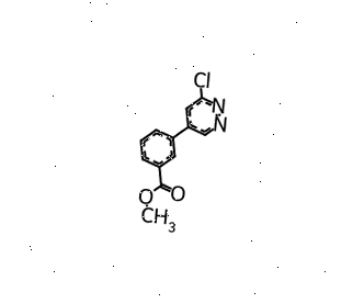 COC(=O)c1cccc(-c2cnnc(Cl)c2)c1